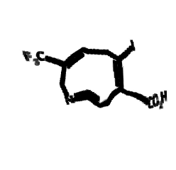 O=C(O)c1cnc(C(F)(F)F)cc1I